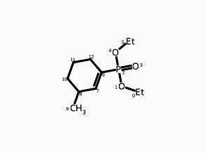 CCOP(=O)(OCC)C1=CC(C)CCC1